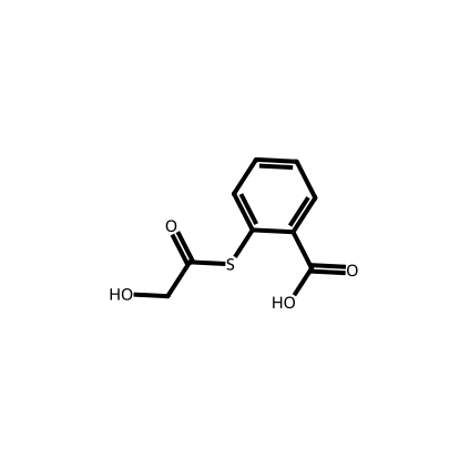 O=C(CO)Sc1ccccc1C(=O)O